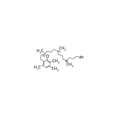 Cc1cc(C)c2c(c1C)O[C@](C)(CCC[C@H](C)CCC[C@H](C)CCCC(C)C)CC2